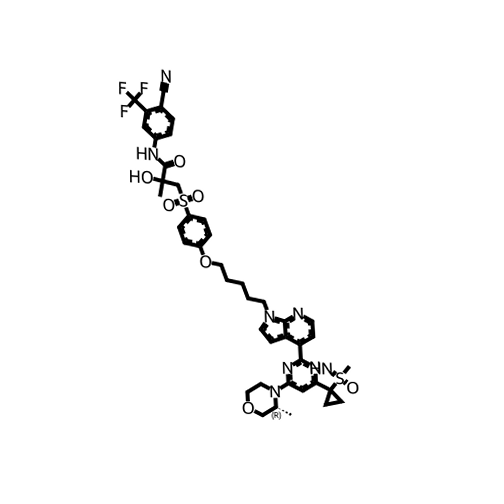 C[C@@H]1COCCN1c1cc(C2(S(C)(=N)=O)CC2)nc(-c2ccnc3c2ccn3CCCCCOc2ccc(S(=O)(=O)CC(C)(O)C(=O)Nc3ccc(C#N)c(C(F)(F)F)c3)cc2)n1